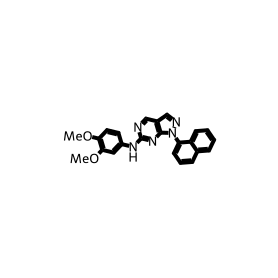 COc1ccc(Nc2ncc3cnn(-c4cccc5ccccc45)c3n2)cc1OC